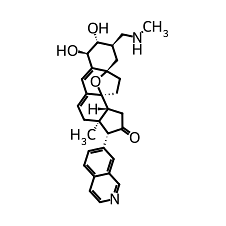 CNC[C@H]1C[C@@]23CC[C@@]4(O2)C(=CC[C@]2(C)[C@@H](c5ccc6ccncc6c5)C(=O)C[C@H]24)C=C3[C@@H](O)[C@@H]1O